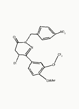 CCC1CC(=O)N(Cc2ccc([N+](=O)[O-])cc2)N=C1c1ccc(OC)c(OC(F)(F)F)c1